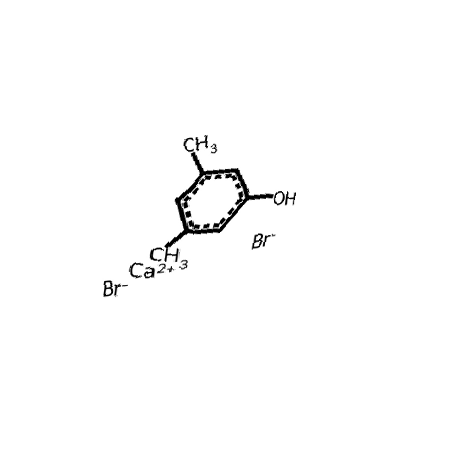 Cc1cc(C)cc(O)c1.[Br-].[Br-].[Ca+2]